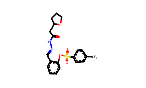 O=C(CC1CCCO1)N/N=C/c1ccccc1OS(=O)(=O)c1ccc(C(F)(F)F)cc1